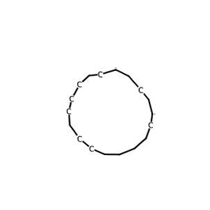 [CH]1CCC[CH]CCCCCCCCCCCCC1